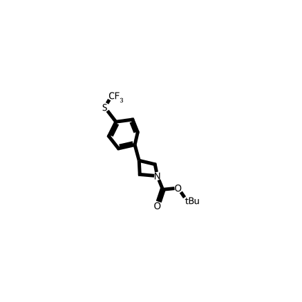 CC(C)(C)OC(=O)N1CC(c2ccc(SC(F)(F)F)cc2)C1